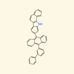 c1ccc(-c2cccc(-c3c4ccccc4c(-c4ccc5c(c4)[nH]c4c6ccccc6ccc54)c4ccccc34)c2)cc1